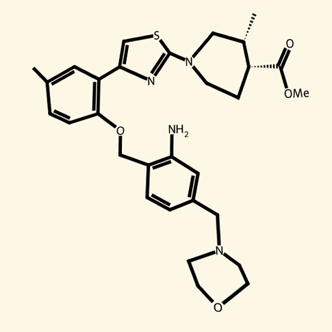 COC(=O)[C@@H]1CCN(c2nc(-c3cc(C)ccc3OCc3ccc(CN4CCOCC4)cc3N)cs2)C[C@@H]1C